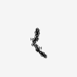 O=C(c1ccc(Nc2nccc(-c3ccc(S(=O)(=O)N4CCOCC4)cc3)n2)cc1)c1ccc(Nc2nccc(-c3ccc(S(=O)(=O)N4CCOCC4)cc3)n2)cc1